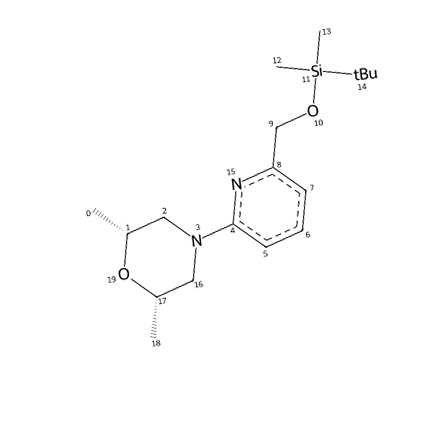 C[C@@H]1CN(c2cccc(CO[Si](C)(C)C(C)(C)C)n2)C[C@H](C)O1